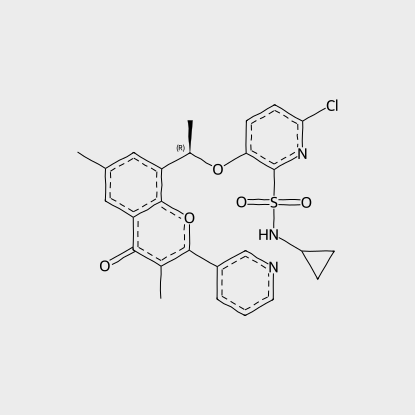 Cc1cc([C@@H](C)Oc2ccc(Cl)nc2S(=O)(=O)NC2CC2)c2oc(-c3cccnc3)c(C)c(=O)c2c1